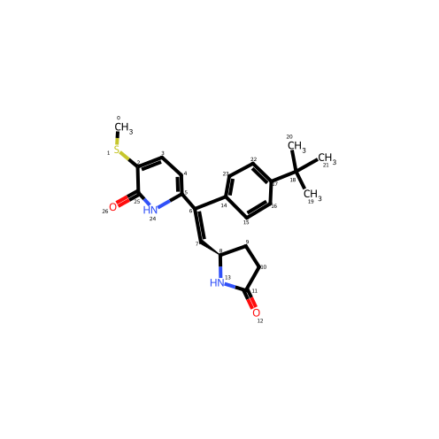 CSc1ccc(C(=C[C@H]2CCC(=O)N2)c2ccc(C(C)(C)C)cc2)[nH]c1=O